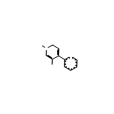 OC1=CN(O)CC=C1c1ccccn1